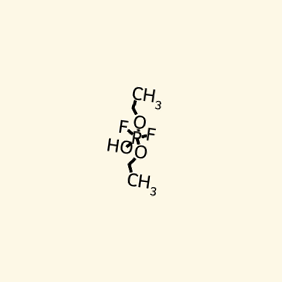 CCOP(O)(F)(F)OCC